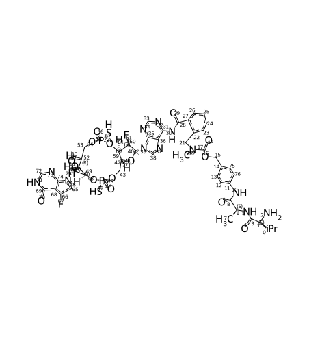 CC(C)[C@H](N)C(=O)N[C@@H](C)C(=O)Nc1ccc(COC(=O)N(C)Cc2ccccc2C(=O)Nc2ncnc3c2ncn3[C@@H]2O[C@@H]3CO[P@@](=O)(S)O[C@@H]4[C@H](O)[C@@H](CO[P@@](=O)(S)O[C@H]3[C@H]2F)O[C@H]4n2cc(F)c3c(=O)[nH]cnc32)cc1